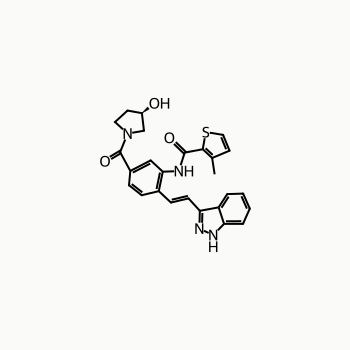 Cc1ccsc1C(=O)Nc1cc(C(=O)N2CC[C@@H](O)C2)ccc1C=Cc1n[nH]c2ccccc12